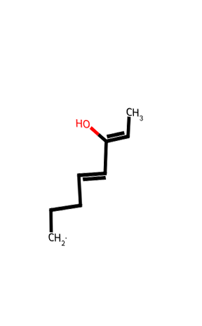 [CH2]CCC=CC(O)=CC